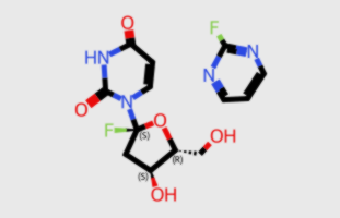 Fc1ncccn1.O=c1ccn([C@@]2(F)C[C@H](O)[C@@H](CO)O2)c(=O)[nH]1